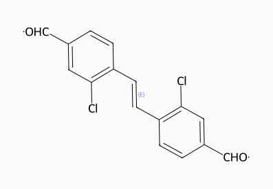 O=[C]c1ccc(/C=C/c2ccc([C]=O)cc2Cl)c(Cl)c1